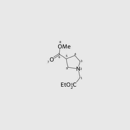 CCOC(=O)CN1CCC(C(=O)OC)C1